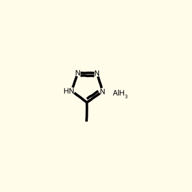 Cc1nnn[nH]1.[AlH3]